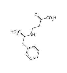 O=C(O)C(=O)CCN[C@@H](Cc1ccccc1)C(=O)O